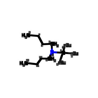 CCCC[Si](CCCC)(CCCC)N([SiH2]CC[SiH3])[SiH2]CC[SiH3]